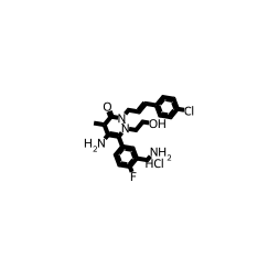 CC1C(=O)N(CC=Cc2ccc(Cl)cc2)N(CCO)C(c2ccc(F)c(CN)c2)=C1N.Cl